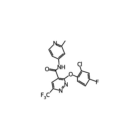 Cc1cc(NC(=O)c2cc(C(F)(F)F)nnc2Oc2ccc(F)cc2Cl)ccn1